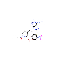 CC(=O)N1CCC(CCn2c(Sc3cc4c(cc3[N+](=O)[O-])OCO4)nc3c(N)ncnc32)CC1